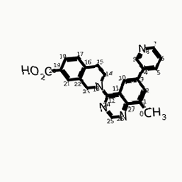 Cc1cc(-c2cccnc2)cc2c(N3CCc4ccc(C(=O)O)cc4C3)ncnc12